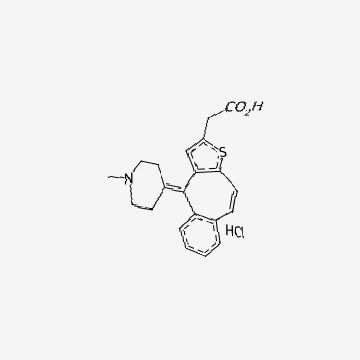 CN1CCC(=C2c3ccccc3C=Cc3sc(CC(=O)O)cc32)CC1.Cl